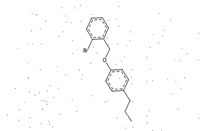 CCCc1ccc(OCc2ccccc2Br)cc1